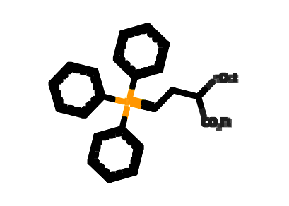 CCCCCCCCC(CC=P(c1ccccc1)(c1ccccc1)c1ccccc1)C(=O)OCC